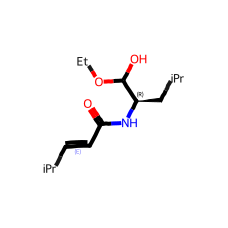 CCOC(O)[C@@H](CC(C)C)NC(=O)/C=C/C(C)C